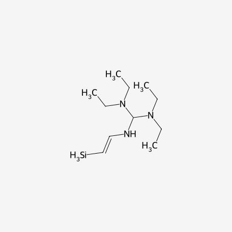 CCN(CC)C(NC=C[SiH3])N(CC)CC